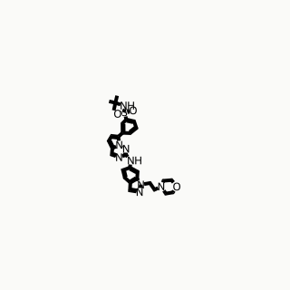 CC(C)(C)NS(=O)(=O)c1cccc(-c2ccc3cnc(Nc4ccc5cnn(CCN6CCOCC6)c5c4)nn23)c1